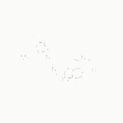 COc1cc(F)cnc1N1CCN(C(=O)c2cc3c(C4=CCCCN4C(=O)OC(C)(C)C)cc(Cl)c(F)c3[nH]2)CC1